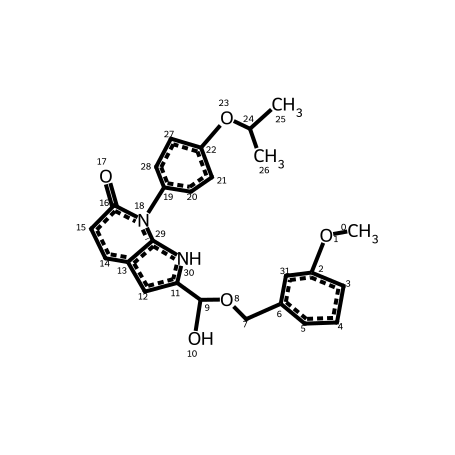 COc1cccc(COC(O)c2cc3ccc(=O)n(-c4ccc(OC(C)C)cc4)c3[nH]2)c1